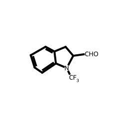 O=CC1Cc2ccccc2N1C(F)(F)F